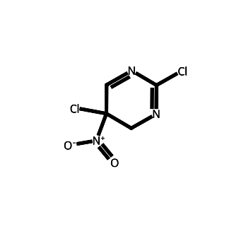 O=[N+]([O-])C1(Cl)C=NC(Cl)=NC1